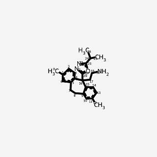 Cc1ccc2c(c1)CCc1cc(C)ccc1C2(CCN)c1nnc(C(C)C)o1